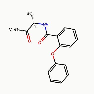 COC(=O)[C@@H](NC(=O)c1ccccc1Oc1ccccc1)C(C)C